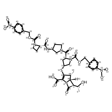 C[C@@H](O)[C@H]1C(=O)N2C(C(=O)O)=C(S[C@H]3C[C@@H](C(=O)N4CC[C@H](NC(=O)[C@@H]5CCN5C(=O)OCc5ccc([N+](=O)[O-])cc5)C4)N(C(=O)OCc4ccc([N+](=O)[O-])cc4)C3)[C@H](C)[C@H]12